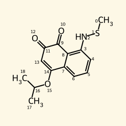 CSNc1cccc2c1C(=O)C(=O)C=C2OC(C)C